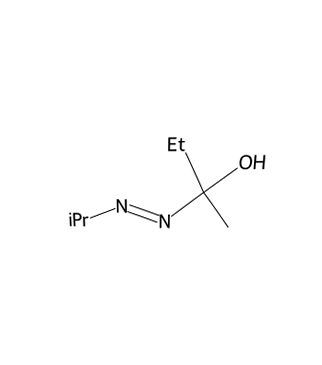 CCC(C)(O)/N=N/C(C)C